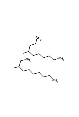 CC(CCN)CCCCCN.CC(CN)CCCCCCN